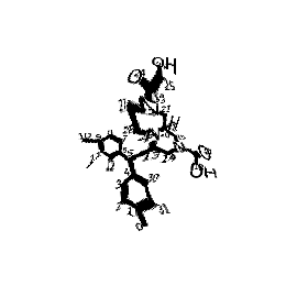 Cc1ccc(C(c2ccc(C)cc2)C2CN(C(=O)O)C[C@@H]3CN(C(=O)CO)CCN23)cc1